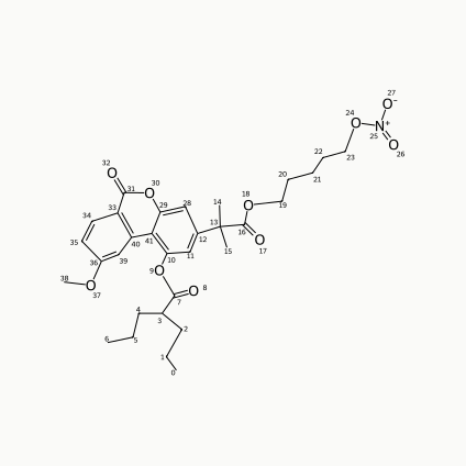 CCCC(CCC)C(=O)Oc1cc(C(C)(C)C(=O)OCCCCCO[N+](=O)[O-])cc2oc(=O)c3ccc(OC)cc3c12